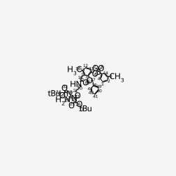 Cc1cccc(S(=O)(=O)Oc2ccc(C)c(CC(=O)NCCON(C(=O)OC(C)(C)C)C(N)=NC(=O)OC(C)(C)C)c2OCc2ccccc2)c1